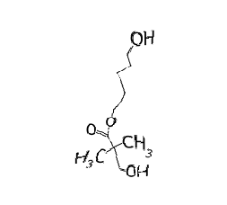 CC(C)(CO)C(=O)OCCCCCO